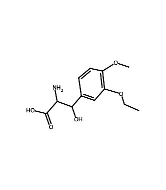 CCOc1cc(C(O)C(N)C(=O)O)ccc1OC